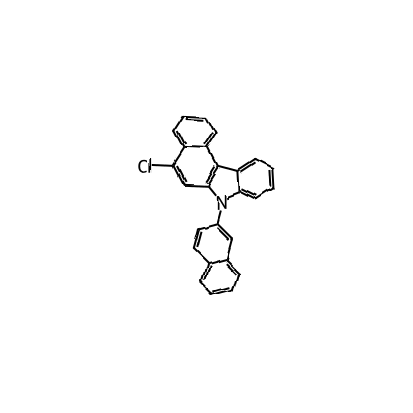 Clc1cc2c(c3ccccc13)c1ccccc1n2-c1ccc2ccccc2c1